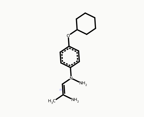 C/C(N)=C/N(N)c1ccc(OC2CCCCC2)cc1